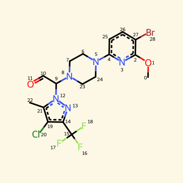 COc1nc(N2CCN(C(C=O)n3nc(C(F)(F)F)c(Cl)c3C)CC2)ccc1Br